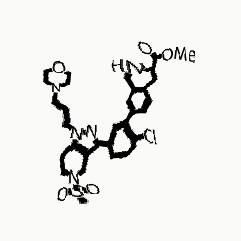 COC(=O)C1Cc2ccc(-c3cc(-c4nn(CCCN5CCOCC5)c5c4CN(S(C)(=O)=O)CC5)ccc3Cl)cc2CN1